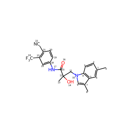 Cc1ccc2c(c1)c(C)cn2CC(C)(O)C(=O)Nc1ccc(C#N)c(C(F)(F)F)c1